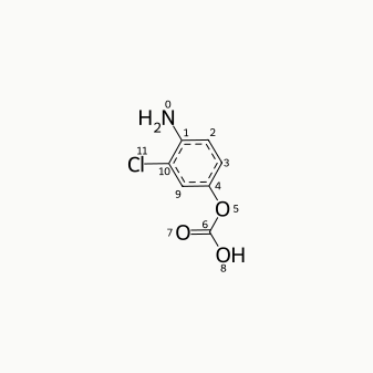 Nc1ccc(OC(=O)O)cc1Cl